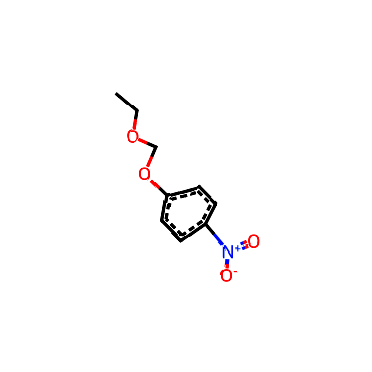 CCOCOc1ccc([N+](=O)[O-])cc1